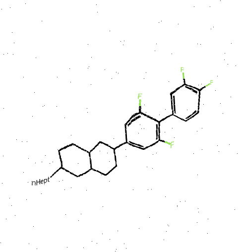 CCCCCCCC1CCC2CC(c3cc(F)c(-c4ccc(F)c(F)c4)c(F)c3)CCC2C1